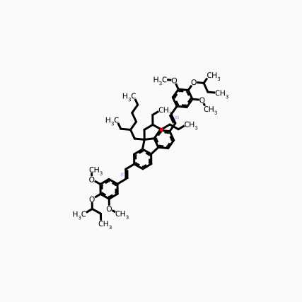 CCCCC(CC)CC1(CC(CC)CCCC)c2cc(/C=C/c3cc(OC)c(OC(C)CC)c(OC)c3)ccc2-c2ccc(/C=C/c3cc(OC)c(OC(C)CC)c(OC)c3)cc21